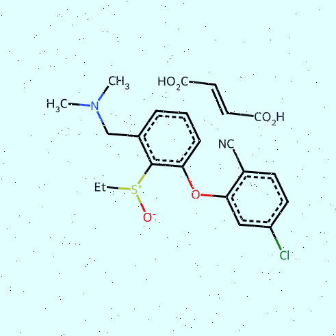 CC[S+]([O-])c1c(CN(C)C)cccc1Oc1cc(Cl)ccc1C#N.O=C(O)/C=C/C(=O)O